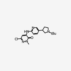 Cn1nc(Cl)cc(Nc2ccc(C3CCN(C(C)(C)C)C3)cn2)c1=O